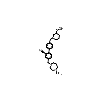 CN1CCCN(Cc2ccc(-c3ccc(CN4CCCC(SO)C4)cc3)c(C#N)c2)CC1